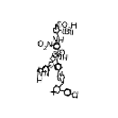 CC1(C)CCC(CN2CCN(c3ccc(C(=O)NS(=O)(=O)c4ccc(NCC5CCN(C(=O)O)C5C(C)(C)C)c([N+](=O)[O-])c4)c(Oc4cnc5[nH]ccc5c4)c3)CC2)=C(c2ccc(Cl)cc2)C1